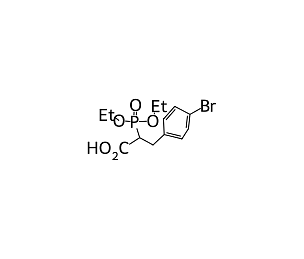 CCOP(=O)(OCC)C(Cc1ccc(Br)cc1)C(=O)O